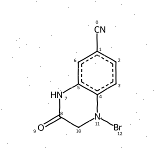 N#Cc1ccc2c(c1)NC(=O)CN2Br